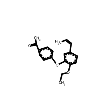 C/C=C\c1ccc(OCC)c(Oc2ccc(C(C)=O)cc2)c1